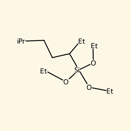 CCO[Si](OCC)(OCC)C(CC)CCC(C)C